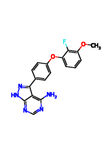 COc1cccc(Oc2ccc(-c3n[nH]c4ncnc(N)c34)cc2)c1F